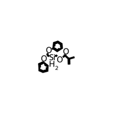 C=C(C)C(=O)OC[SiH2]C(Oc1ccccc1)Oc1ccccc1